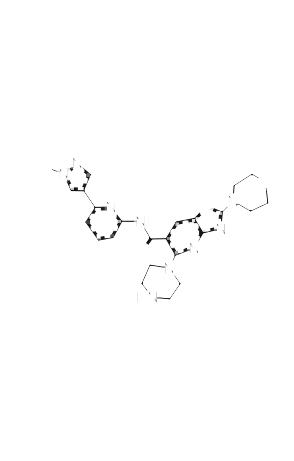 Cn1cc(-c2cccc(NC(=O)c3cc4oc(N5CCOCC5)nc4nc3N3CCNCC3)n2)cn1